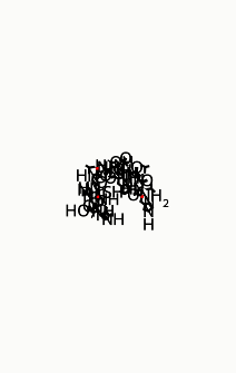 CC(C)C[C@H](NC(=O)[C@H](CC(C)C)NC(=O)[C@@H](N)Cc1c[nH]cn1)C(=O)N[C@@H](CC(N)=O)C(=O)N[C@@H](Cc1ccccc1)C(=O)N[C@H](C(=O)N[C@@H](CC(C)C)C(=O)N[C@@H](Cc1c[nH]cn1)C(=O)N[C@@H](CS)C(=O)N[C@@H](Cc1c[nH]cn1)C(=O)N[C@@H](C)C(=O)O)[C@@H](C)O